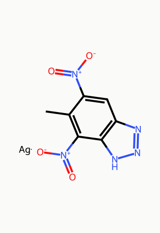 Cc1c([N+](=O)[O-])cc2nn[nH]c2c1[N+](=O)[O-].[Ag]